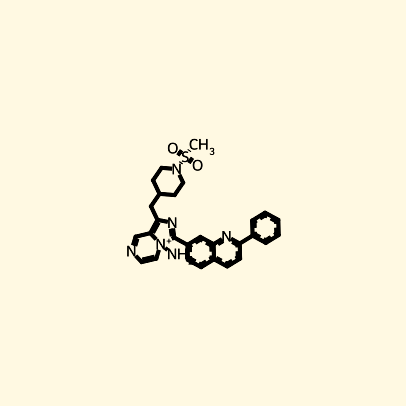 CS(=O)(=O)N1CCC(CC2=C3C=NC=C[N+]3(N)C(c3ccc4ccc(-c5ccccc5)nc4c3)=N2)CC1